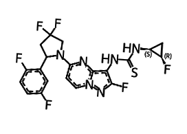 Fc1ccc(F)c(C2CC(F)(F)CN2c2ccn3nc(F)c(NC(=S)N[C@H]4C[C@H]4F)c3n2)c1